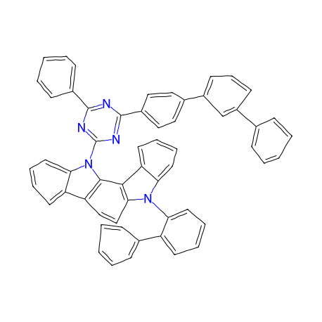 c1ccc(-c2cccc(-c3ccc(-c4nc(-c5ccccc5)nc(-n5c6ccccc6c6ccc7c(c8ccccc8n7-c7ccccc7-c7ccccc7)c65)n4)cc3)c2)cc1